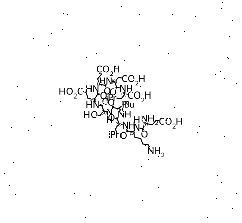 CC[C@H](C)[C@H](NC(=O)[C@H](CC(C)C)NC(=O)[C@H](CCCCN)NC(=O)[C@@H](N)CCC(=O)O)C(=O)N[C@@H](CO)C(=O)N[C@@H](CCC(=O)O)C(=O)N[C@@H](CCC(=O)O)C(=O)N[C@@H](CC(=O)O)C(=O)N[C@@H](CC(C)C)C(=O)O